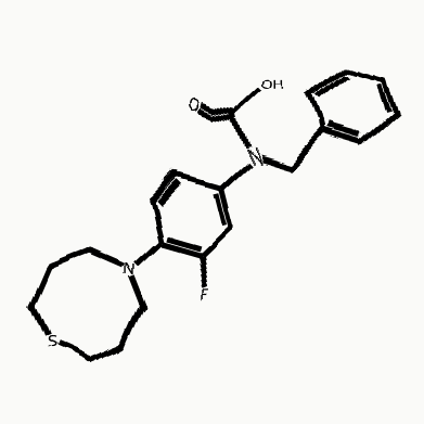 O=C(O)N(Cc1ccccc1)c1ccc(N2CCCSCCC2)c(F)c1